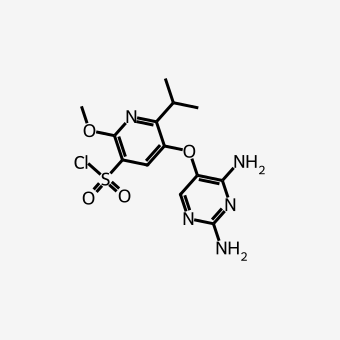 COc1nc(C(C)C)c(Oc2cnc(N)nc2N)cc1S(=O)(=O)Cl